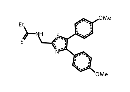 CCC(=S)NCc1nc(-c2ccc(OC)cc2)c(-c2ccc(OC)cc2)s1